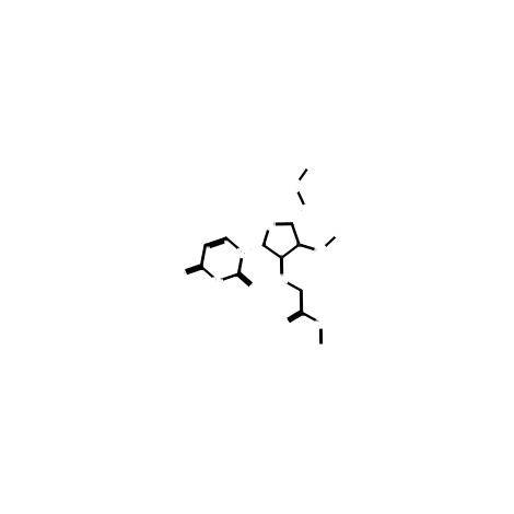 CNC(=O)COC1C(OC)[C@@H](COC)O[C@H]1n1ccc(=O)[nH]c1=S